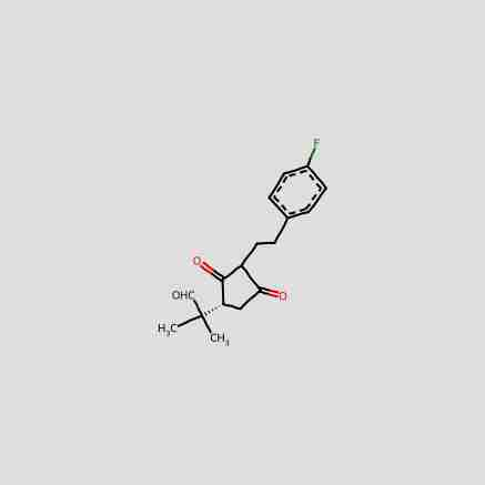 CC(C)(C=O)[C@H]1CC(=O)C(CCc2ccc(F)cc2)C1=O